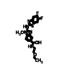 CCOCCNC(O)c1ccc2c(c1)nc(Nc1nc3cc(F)c(F)cc3s1)n2C